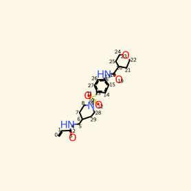 C=CC(=O)NCC1CCN(S(=O)(=O)c2ccc(NC(=O)C3CCOCC3)cc2)CC1